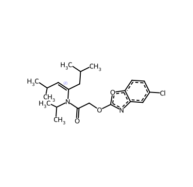 CC(C)/C=C(/CC(C)C)N(C(=O)COc1nc2cc(Cl)ccc2o1)C(C)C